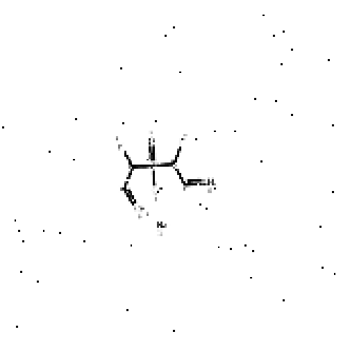 C=CC(F)P(=O)([O-])C(F)C=C.[Na+]